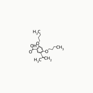 C=C(C)c1cc(C(=O)O)c(OCCCC)cc1OCCCC